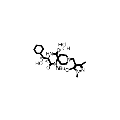 CCCCN1C(=O)[C@@H]([C@H](O)C2CCCCC2)NC(=O)C12CCN(Cc1c(C)nn(C)c1Cl)CC2.Cl.Cl